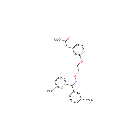 COC(=O)Cc1cccc(OCCON=C(c2cccc(C(=O)O)c2)c2cccc(C(=O)O)c2)c1